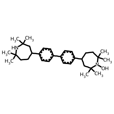 CC1(C)CCC(c2ccc(-c3ccc(C4CCC(C)(C)N(O)C(C)(C)C4)cc3)cc2)CC(C)(C)N1